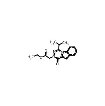 CCOC(=O)Cn1nc(C(C)C)n2c(cc3ccccc32)c1=O